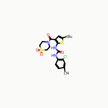 CC(C)(C)c1cc(C(=O)N2CCS(=O)(=O)CC2)c(NC(=O)Nc2ccc(C#N)cc2Cl)s1